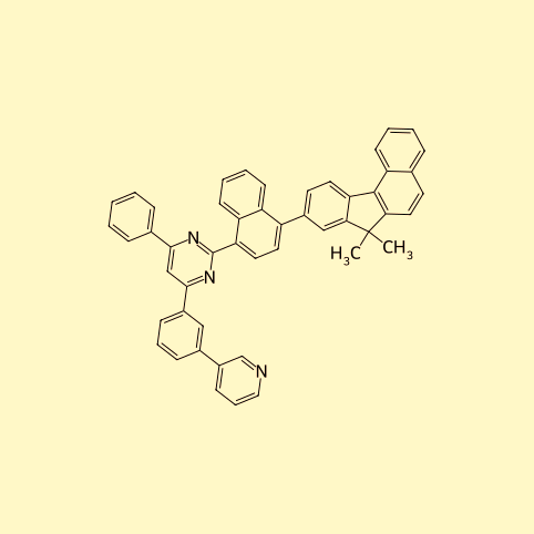 CC1(C)c2cc(-c3ccc(-c4nc(-c5ccccc5)cc(-c5cccc(-c6cccnc6)c5)n4)c4ccccc34)ccc2-c2c1ccc1ccccc21